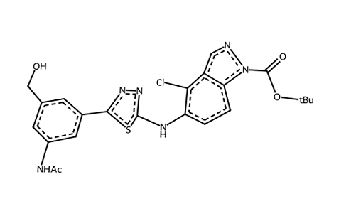 CC(=O)Nc1cc(CO)cc(-c2nnc(Nc3ccc4c(cnn4C(=O)OC(C)(C)C)c3Cl)s2)c1